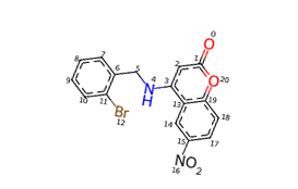 O=c1cc(NCc2ccccc2Br)c2cc([N+](=O)[O-])ccc2o1